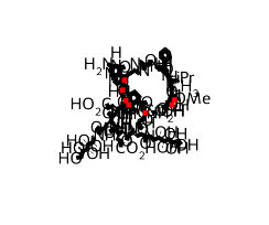 COC[C@H]1OB(C)[C@H](CC(C)C)NC(=O)[C@H](Cc2ccccc2)NC(=O)c2cnc(cn2)CSSCCNC(=O)[C@@H](NC(=O)[C@H](CCC(=O)O)NC(=O)[C@H](CCC(=O)NC[C@H](O)[C@@H](O)[C@H](O)[C@H](O)CO)NC(=O)[C@H](CCC(=O)O)NC(=O)[C@H](CCC(=O)NC[C@H](O)[C@@H](O)[C@H](O)[C@H](O)CO)NC(=O)CC[C@H](NC(=O)c2ccc(NCc3cnc4nc(N)[nH]c(=O)c4n3)cc2)C(=O)O)CCC(=O)NCC[C@@H](O)[C@@H]1O